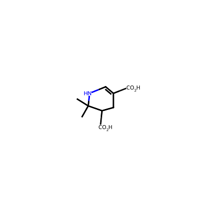 CC1(C)NC=C(C(=O)O)CC1C(=O)O